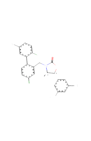 CC(C)c1ccc(Cl)c(-c2ccc(Br)cc2CN2C(=O)O[C@H](c3cc(C(F)(F)F)cc(C(F)(F)F)c3)[C@H]2C)c1